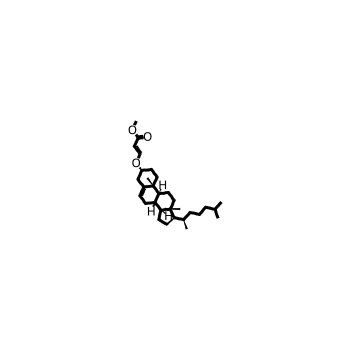 COC(=O)C=CO[C@H]1CC[C@@]2(C)C(=CC[C@H]3[C@@H]4CC[C@H]([C@H](C)CCCC(C)C)[C@@]4(C)CC[C@@H]32)C1